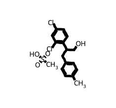 CS(=O)(=O)O.Cc1ccc(CC(CO)c2ccc(Cl)cc2Cl)cc1